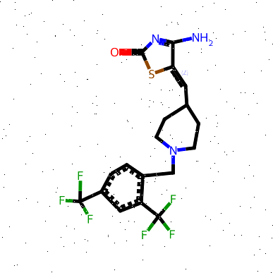 NC1=NC(=O)S/C1=C\C1CCN(Cc2ccc(C(F)(F)F)cc2C(F)(F)F)CC1